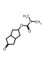 CN(C)C(=O)OC1CC2CC(=O)CC2C1